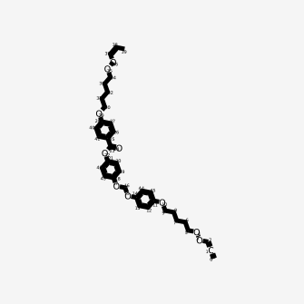 C=C=COOCCCCCOc1ccc(OCOc2ccc(OC(=O)c3ccc(OCCCCCOO/C=C\C)cc3)cc2)cc1